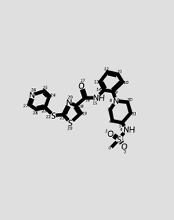 CS(=O)(=O)NC1CCN(c2ccccc2NC(=O)c2csc(Sc3ccncc3)n2)CC1